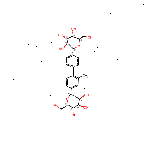 Cc1cc([C@H]2O[C@H](CO)[C@@H](O)[C@H](O)[C@@H]2O)ccc1-c1ccc([C@H]2O[C@H](CO)[C@@H](O)[C@H](O)[C@@H]2O)cc1